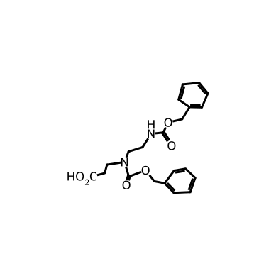 O=C(O)CCN(CCNC(=O)OCc1ccccc1)C(=O)OCc1ccccc1